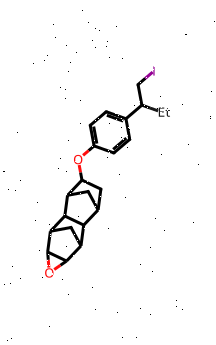 CCC(CI)c1ccc(OC2CC3CC2C2C4CC(C5OC45)C32)cc1